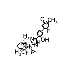 Cn1cc(F)c(-c2ccc(-c3ncc(N(C4CC4)[C@H]4C[C@]5(C)CCC[C@@](C)(N5)[C@H]4F)nn3)c(O)c2)cc1=O